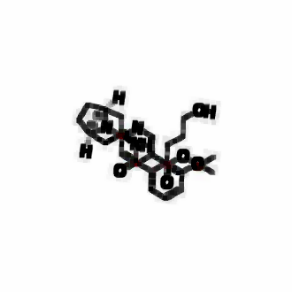 CCOC(=O)c1ccc(N2[C@@H]3CC[C@H]2C[C@@H](NC(=O)c2cccc(OC)c2CCCO)C3)nc1